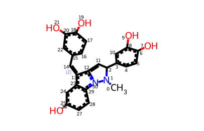 CN1C(c2ccc(O)c(O)c2)C=c2/c(=C\c3ccc(O)c(O)c3)c3cc(O)ccc3n21